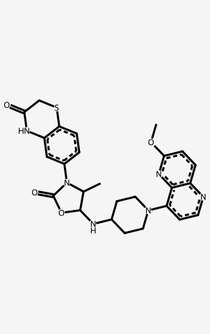 COc1ccc2nccc(N3CCC(NC4OC(=O)N(c5ccc6c(c5)NC(=O)CS6)C4C)CC3)c2n1